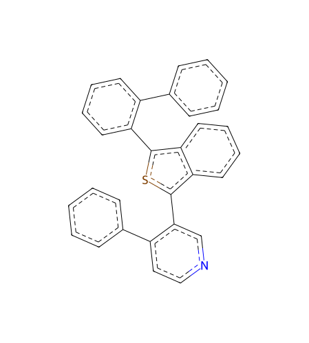 c1ccc(-c2ccccc2-c2sc(-c3cnccc3-c3ccccc3)c3ccccc23)cc1